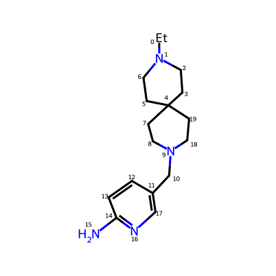 CCN1CCC2(CC1)CCN(Cc1ccc(N)nc1)CC2